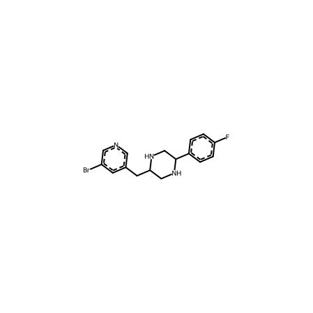 Fc1ccc(C2CNC(Cc3cncc(Br)c3)CN2)cc1